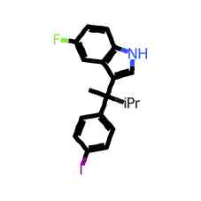 CC(C)C(C)(c1ccc(I)cc1)c1c[nH]c2ccc(F)cc12